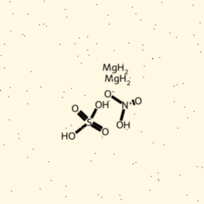 O=S(=O)(O)O.O=[N+]([O-])O.[MgH2].[MgH2]